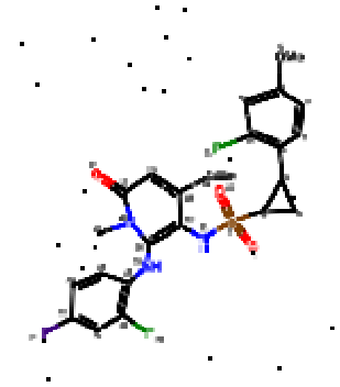 COc1ccc(C2CC2S(=O)(=O)Nc2c(OC)cc(=O)n(C)c2Nc2ccc(I)cc2F)c(F)c1